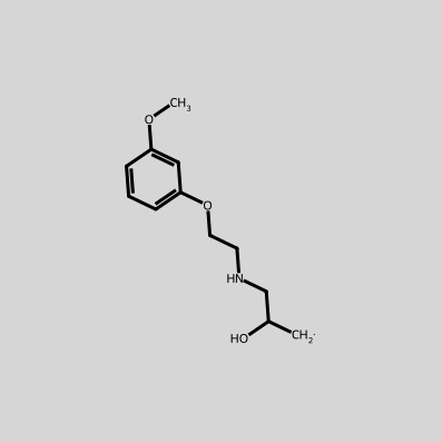 [CH2]C(O)CNCCOc1cccc(OC)c1